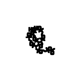 CC(=O)OC(C)(C)CCOC(C)(C)CC(C1OCC(C(C)(C)OCCC(C)(C)O)C1C(C)(C)OCCC(C)(C)O)C(C)(C)OCCC(C)(C)O